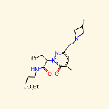 CCOC(=O)CCNC(=O)C(CC(C)C)n1nc(CCN2CC(F)C2)cc(C)c1=O